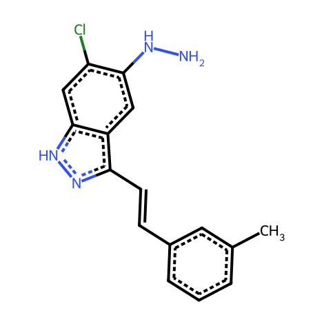 Cc1cccc(/C=C/c2n[nH]c3cc(Cl)c(NN)cc23)c1